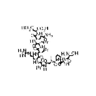 CC(C)C[C@H](NC(=O)[C@H](CC(C)C)NC(=O)[C@H](CCCNC(=N)N)NC(=O)[C@@H](NC(=O)CNC(=O)[C@@H]1CCCN1C(=O)[C@@H](NC(=O)[C@@H](N)CO)C(C)C)C(C)C)C(=O)N[C@@H](CCC(N)=O)C(=O)N[C@@H](CC(=O)O)C(=O)O